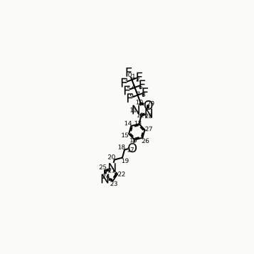 FC(F)(F)C(F)(F)C(F)(F)c1nc(-c2ccc(OCCCn3ccnc3)cc2)no1